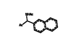 CC(=O)NC(C(C)=O)c1ccc2ccccc2c1